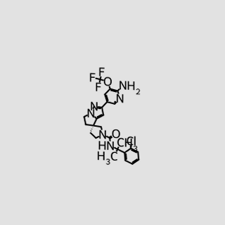 CC(C)(NC(=O)N1CC[C@@]2(CCn3nc(-c4cnc(N)c(OC(F)(F)F)c4)cc32)C1)c1ccccc1Cl